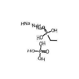 CCP(=O)(O)O.O=P(O)(O)O.[NaH].[NaH].[NaH]